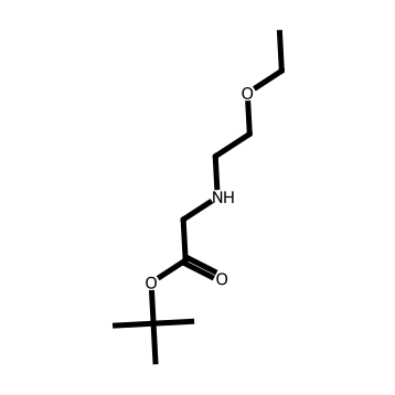 CCOCCNCC(=O)OC(C)(C)C